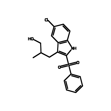 CC(CO)Cc1c(S(=O)(=O)c2ccccc2)[nH]c2ccc(Cl)cc12